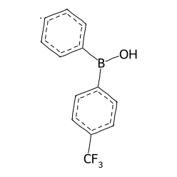 OB(c1cc[c]cc1)c1ccc(C(F)(F)F)cc1